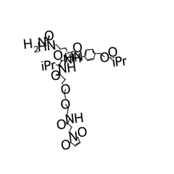 CC(C)C(=O)OCc1ccc(NC(=O)[C@H](CCCNC(N)=O)NC(=O)[C@@H](NC(=O)CCOCCOCCNC(=O)CCN2C(=O)C=CC2=O)C(C)C)cc1